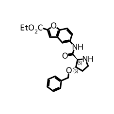 CCOC(=O)c1cc2cc(NC(=O)[C@H]3NCC[C@@H]3OCc3ccccc3)ccc2o1